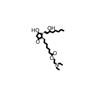 CCCCCC(O)C=C[C@H]1C(O)CC(=O)[C@@H]1CCCCCCC(=O)OCCN(CC)CC